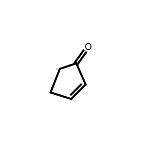 O=C1[CH]CC=C1